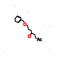 CC(=O)CCC(=O)CCCOCc1ccccc1